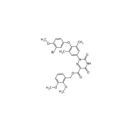 COc1ccc(Oc2c(C)cc(-n3nc(C(=O)OCc4cccc(OC)c4OC)c(=O)[nH]c3=O)cc2C)cc1Br